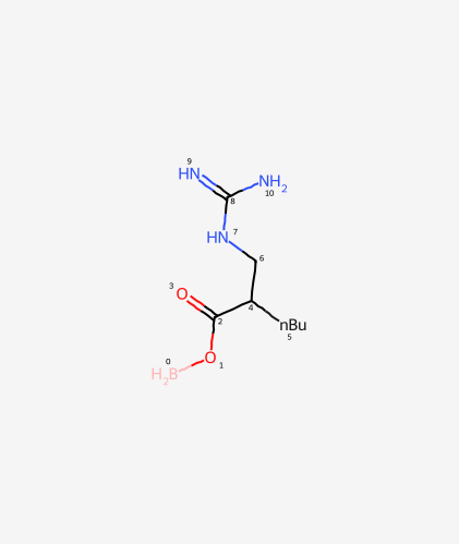 BOC(=O)C(CCCC)CNC(=N)N